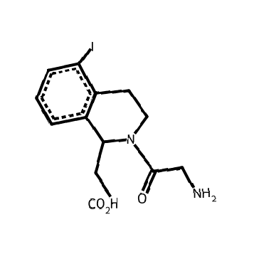 NCC(=O)N1CCc2c(I)cccc2C1CC(=O)O